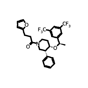 C[C@@H](O[C@H]1CCN(C(=O)CCc2ccco2)C[C@H]1c1ccccc1)c1cc(C(F)(F)F)cc(C(F)(F)F)c1